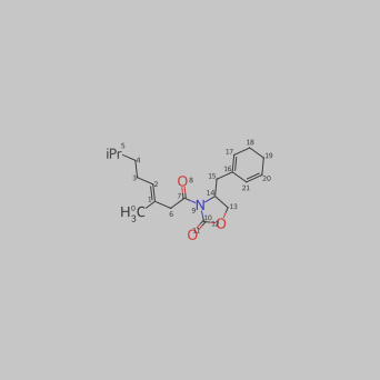 CC(=CCCC(C)C)CC(=O)N1C(=O)OCC1CC1=CCCC=C1